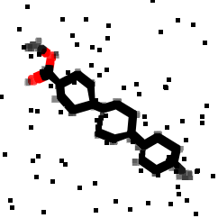 CCCOC(=O)[C@H]1CC[C@@H]([C@H]2CC[C@H]([C@H]3CC[C@H](CC)CC3)CC2)CC1